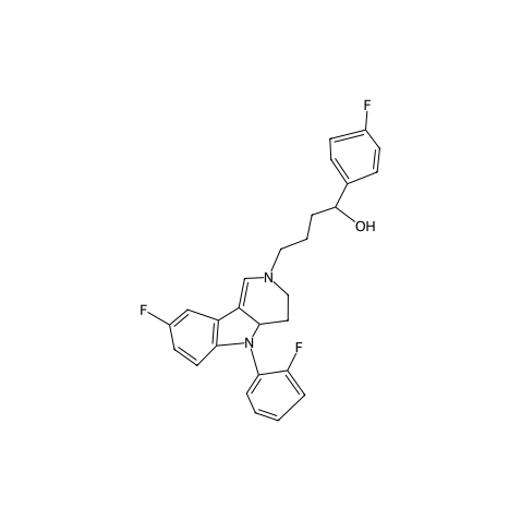 OC(CCCN1C=C2c3cc(F)ccc3N(c3ccccc3F)C2CC1)c1ccc(F)cc1